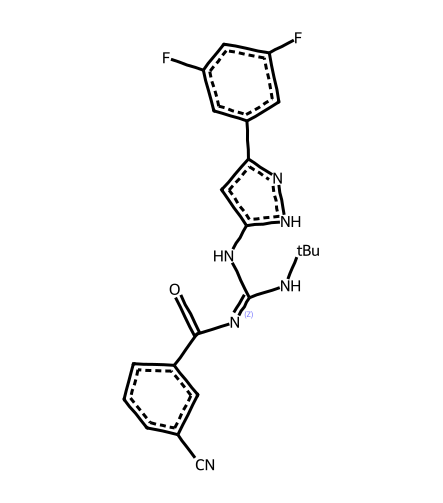 CC(C)(C)N/C(=N/C(=O)c1cccc(C#N)c1)Nc1cc(-c2cc(F)cc(F)c2)n[nH]1